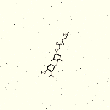 CNCCOC(=O)COc1cc(C)c(Cc2ccc(O)c(C(C)C)c2)c(C)c1